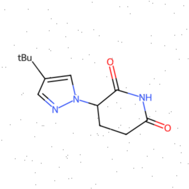 CC(C)(C)c1cnn(C2CCC(=O)NC2=O)c1